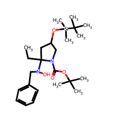 CCC1(N(O)Cc2ccccc2)CC(O[Si](C)(C)C(C)(C)C)CN1C(=O)OC(C)(C)C